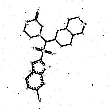 O=C1CN(C(C2CCC3CNCCC3C2)S(=O)(=O)c2cc3ccc(Cl)cc3s2)CCN1